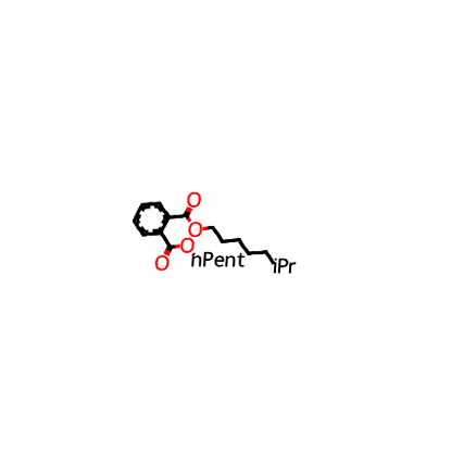 CCCCCOC(=O)c1ccccc1C(=O)OCCCCCC(C)C